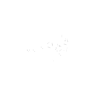 CNCCNCc1ccc(F)c(-c2nc(NC3CCOCC3)c(C)c(-c3c(C)noc3C)n2)c1